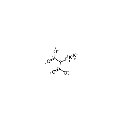 O=C([O-])C(F)C(=O)[O-].[K+].[K+]